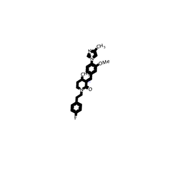 COc1cc(/C=C2/C(=O)N(CCc3ccc(F)cc3)CCC2C)ccc1-n1cnc(C)c1